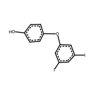 Oc1ccc(Oc2cc(I)cc(I)c2)cc1